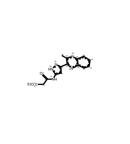 CCOC(=O)CC(=O)Nc1cc(-c2nc3ccccc3nc2C)n[nH]1